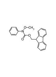 CON(C(=O)OCC1c2ccccc2-c2ccccc21)c1ccccc1